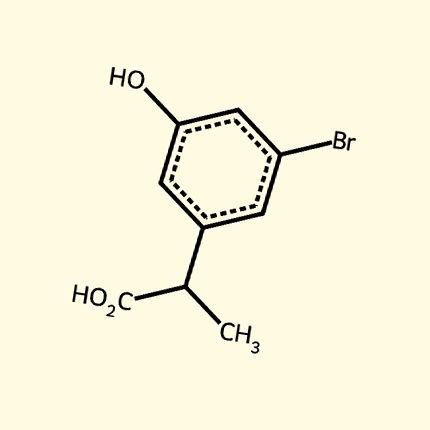 CC(C(=O)O)c1cc(O)cc(Br)c1